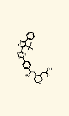 O=C(O)CC1COCCN1CC(O)c1ccc(-c2noc(-c3onc(-c4ccccc4)c3C(F)(F)F)n2)cc1